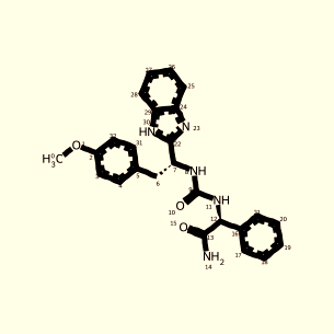 COc1ccc(C[C@@H](NC(=O)N[C@H](C(N)=O)c2ccccc2)c2nc3ccccc3[nH]2)cc1